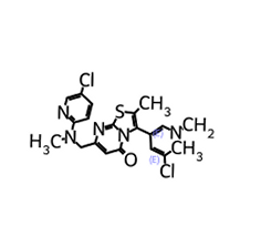 C=N/C=C(\C=C(/C)Cl)c1c(C)sc2nc(CN(C)c3ccc(Cl)cn3)cc(=O)n12